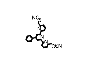 N#COCc1cccc(-c2cc(-c3ccccc3)cc(-c3cccc(COC#N)n3)n2)n1